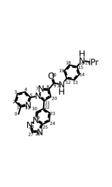 Cc1cccc(-n2nc(C(=O)Nc3ccc(NC(C)C)cc3)cc2-c2ccc3ncnn3c2)n1